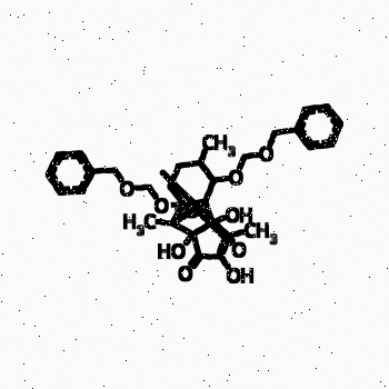 CC1=C(O)C(=O)C2(O)C1(O)C13OC(=O)CCC2(C)[C@@]1(OCOCc1ccccc1)CCC(C)C3OCOCc1ccccc1